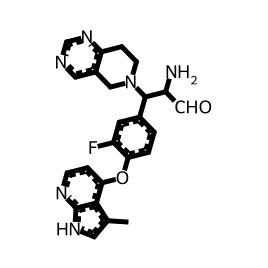 Cc1c[nH]c2nccc(Oc3ccc(C(C(N)C=O)N4CCc5ncncc5C4)cc3F)c12